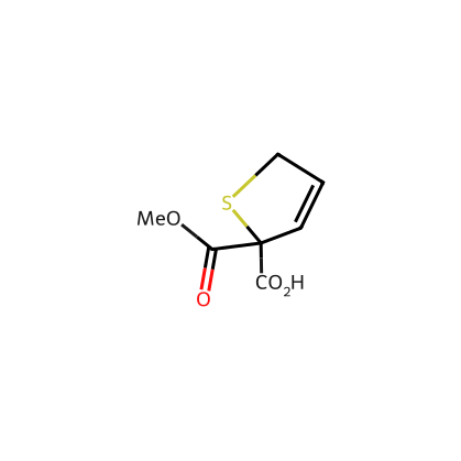 COC(=O)C1(C(=O)O)C=CCS1